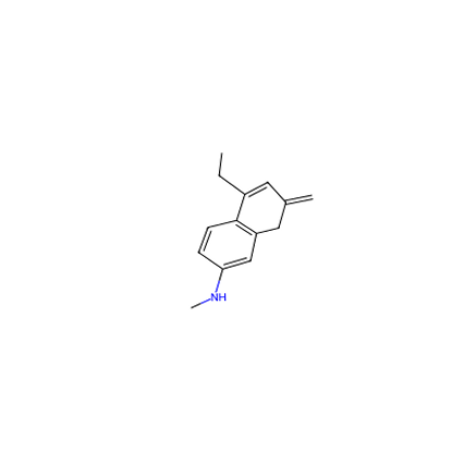 C=C1C=C(CC)c2ccc(NC)cc2C1